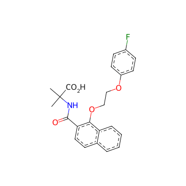 CC(C)(NC(=O)c1ccc2ccccc2c1OCCOc1ccc(F)cc1)C(=O)O